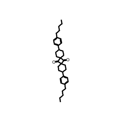 CCCCCc1ccc(C2CCC3(CC2)C(=O)C2(CCC(c4ccc(CCCCC)cc4)CC2)C3=O)cc1